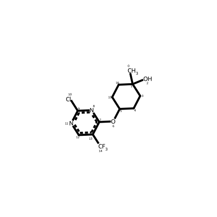 CC1(O)CCC(Oc2nc(Cl)ncc2C(F)(F)F)CC1